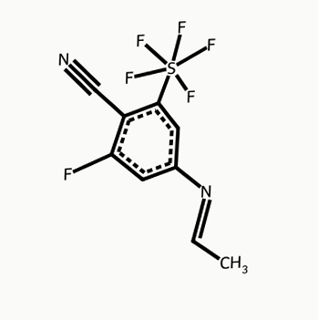 CC=Nc1cc(F)c(C#N)c(S(F)(F)(F)(F)F)c1